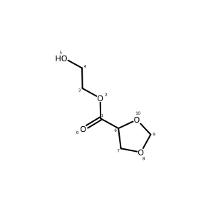 O=C(OCCO)C1COCO1